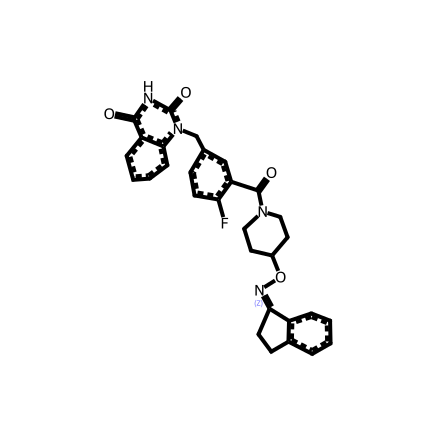 O=C(c1cc(Cn2c(=O)[nH]c(=O)c3ccccc32)ccc1F)N1CCC(O/N=C2/CCc3ccccc32)CC1